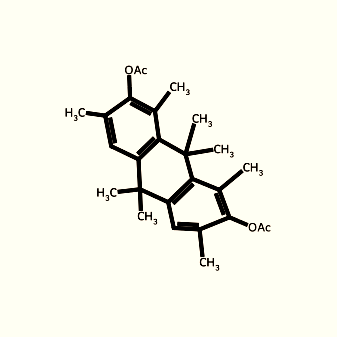 CC(=O)Oc1c(C)cc2c(c1C)C(C)(C)c1c(cc(C)c(OC(C)=O)c1C)C2(C)C